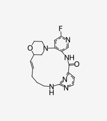 O=C1Nc2cnc(F)cc2N2CCOC(/C=C/CCCNc3nccc1n3)C2